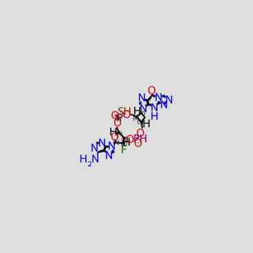 Nc1ncnc2c1ncn2[C@@H]1O[C@@H]2CO[P@](=O)(S)OC[C@@H]3[C@@H](CO[PH](=O)O[C@H]2[C@H]1F)C[C@H]3n1cnc2c(=O)n3cnnc3[nH]c21